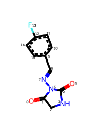 O=C1CNC(=O)N1N=Cc1ccc(F)cc1